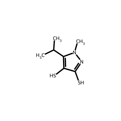 CC(C)c1c(S)c(S)nn1C